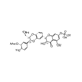 COc1cc([C@@H]2Oc3cc([C@@H]4Oc5cc(OP(=O)(O)O)cc(O)c5C(=O)[C@H]4O)ccc3O[C@H]2CO)ccc1O